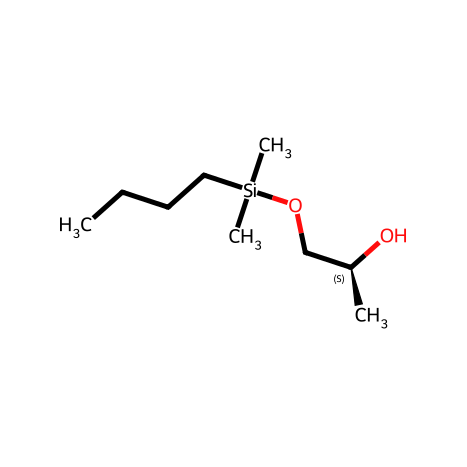 CCCC[Si](C)(C)OC[C@H](C)O